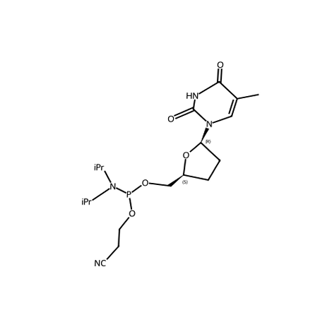 Cc1cn([C@H]2CC[C@@H](COP(OCCC#N)N(C(C)C)C(C)C)O2)c(=O)[nH]c1=O